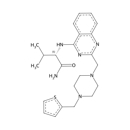 CC(C)[C@H](Nc1nc(CN2CCN(Cc3cccs3)CC2)nc2ccccc12)C(N)=O